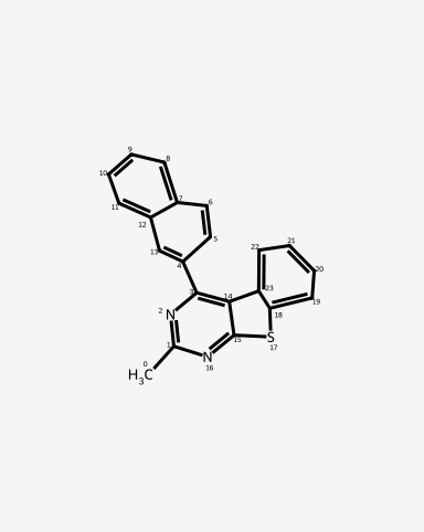 Cc1nc(-c2ccc3ccccc3c2)c2c(n1)sc1ccccc12